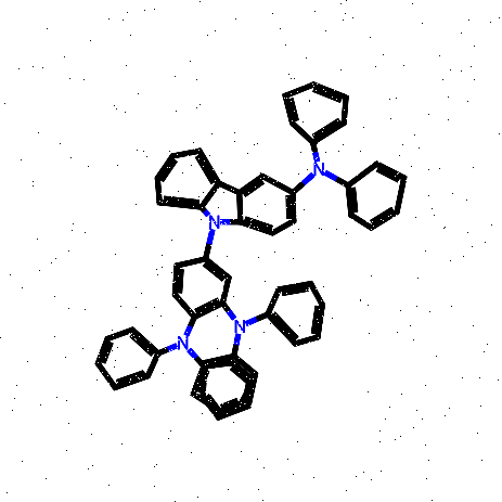 c1ccc(N(c2ccccc2)c2ccc3c(c2)c2ccccc2n3-c2ccc(N(c3ccccc3)c3ccccc3)c(N(c3ccccc3)c3ccccc3)c2)cc1